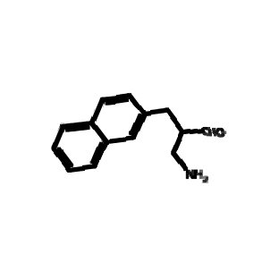 NCC([C]=O)Cc1ccc2ccccc2c1